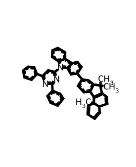 CC1(C)C2=C(c3ccc(-c4ccc5c6ccccc6n(-c6cc(-c7ccccc7)nc(-c7ccccc7)n6)c5c4)cc31)C1(C)C=CC=CC1C=C2